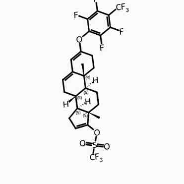 C[C@]12CCC(Oc3c(F)c(F)c(C(F)(F)F)c(F)c3F)=CC1=CC[C@@H]1[C@@H]2CC[C@]2(C)C(OS(=O)(=O)C(F)(F)F)=CC[C@@H]12